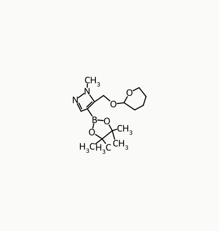 Cn1ncc(B2OC(C)(C)C(C)(C)O2)c1COC1CCCCO1